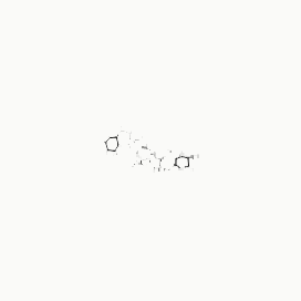 CC(C)(C)[Si](C)(C)O[C@H](CN1CCc2ccccc2C1)CN1CCN(Cc2ccc(Br)cn2)C1=O